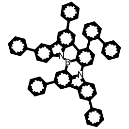 c1ccc(-c2ccc3c(c2)c2cc(-c4ccccc4)cc4c2n3B2c3c(ccc(-c5ccccc5-c5ccccc5)c3-4)-n3c4ccc(-c5ccccc5)cc4c4cc(-c5ccccc5)cc2c43)cc1